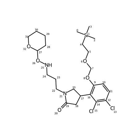 C[Si](C)(C)CCOCOc1ccc(Cl)c(Cl)c1C1CC(=O)N(CCCNOC2CCCCO2)C1